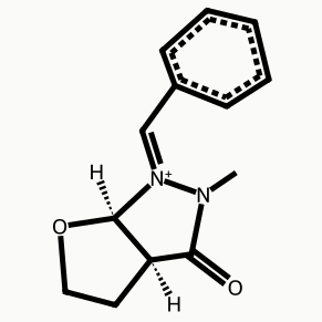 CN1C(=O)[C@H]2CCO[C@H]2/[N+]1=C/c1ccccc1